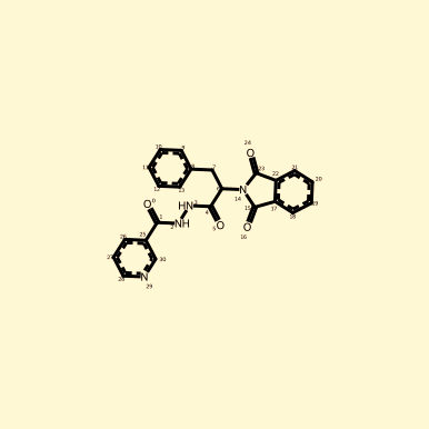 O=C(NNC(=O)C(Cc1ccccc1)N1C(=O)c2ccccc2C1=O)c1cccnc1